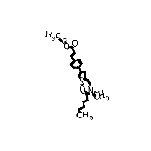 CCCCCC(=O)N(C)Cc1cc(-c2ccc(CCC(=O)OOCC)cc2)cs1